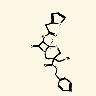 O=C(Cc1cccs1)NC1C(=O)N2CC(CO)(C(=O)OCc3ccccc3)CS[C@H]12